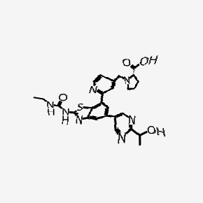 CCNC(=O)Nc1nc2cc(-c3cnc(C(C)O)nc3)cc(-c3cc(CN4CCC[C@H]4C(=O)O)ccn3)c2s1